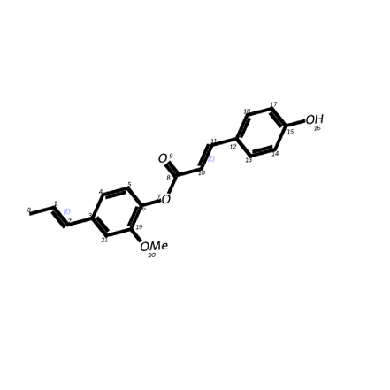 C/C=C/c1ccc(OC(=O)/C=C/c2ccc(O)cc2)c(OC)c1